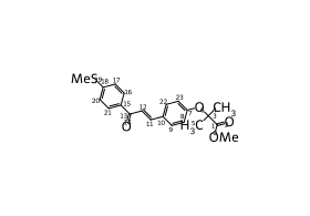 COC(=O)C(C)(C)Oc1ccc(/C=C/C(=O)c2ccc(SC)cc2)cc1